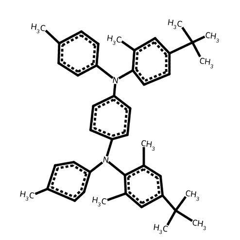 Cc1ccc(N(c2ccc(N(c3ccc(C)cc3)c3c(C)cc(C(C)(C)C)cc3C)cc2)c2ccc(C(C)(C)C)cc2C)cc1